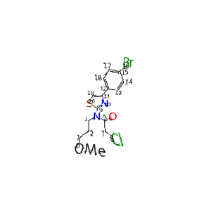 COCCCN(C(=O)CCl)c1nc(-c2ccc(Br)cc2)cs1